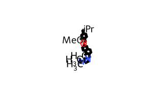 COc1cc(CC(C)C)ccc1COc1ccc2c(c1)CCC(CN1CCC(N(C)C)C1)=C2C